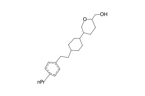 CCCc1ccc(CCC2CCC(C3CCC(CO)OC3)CC2)cc1